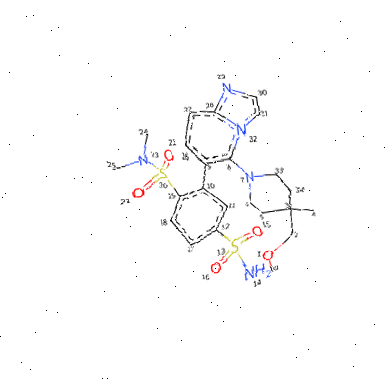 COCC1(C)CCN(c2c(-c3cc(S(N)(=O)=O)ccc3S(=O)(=O)N(C)C)ccc3nccn23)CC1